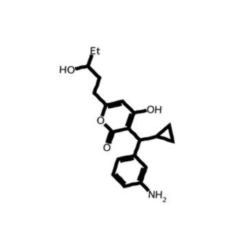 CCC(O)CCc1cc(O)c(C(c2cccc(N)c2)C2CC2)c(=O)o1